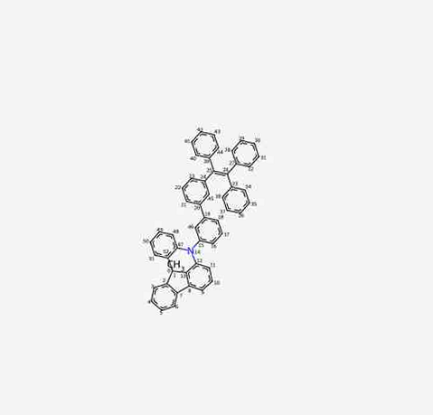 CC12c3ccccc3-c3cccc(c31)N(c1cccc(-c3cccc(C(=C(c4ccccc4)c4ccccc4)c4ccccc4)c3)c1)c1ccccc12